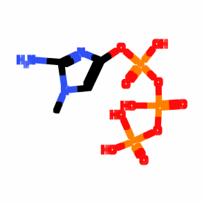 Cn1cc(OP(=O)(O)OP(=O)(O)OP(=O)(O)O)nc1N